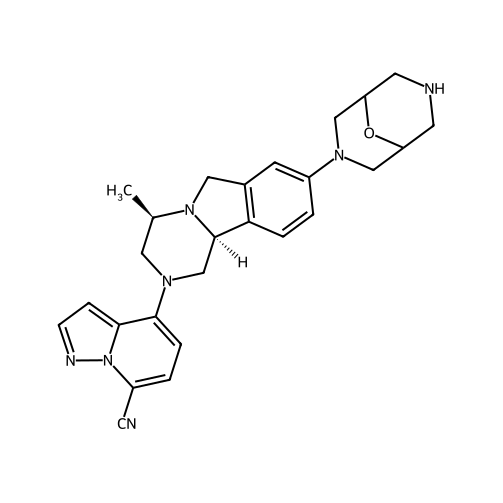 C[C@@H]1CN(c2ccc(C#N)n3nccc23)C[C@@H]2c3ccc(N4CC5CNCC(C4)O5)cc3CN12